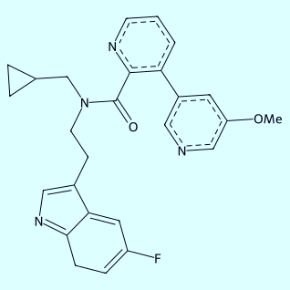 COc1cncc(-c2cccnc2C(=O)N(CCC2=CN=C3CC=C(F)C=C23)CC2CC2)c1